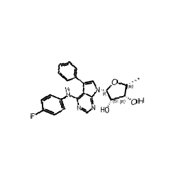 C[C@H]1O[C@@H](n2cc(-c3ccccc3)c3c(Nc4ccc(F)cc4)ncnc32)[C@@H](O)[C@H]1O